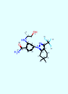 C[C@H](CO)Nc1cc(-n2nc(C(F)(F)F)c3c2CC(C)(C)CC3)ccc1C(N)=O